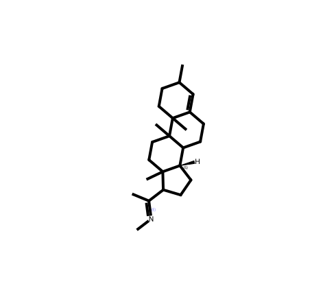 C/N=C(\C)C1CC[C@H]2C3CCC4=CC(C)CCC4(C)C3(C)CCC12C